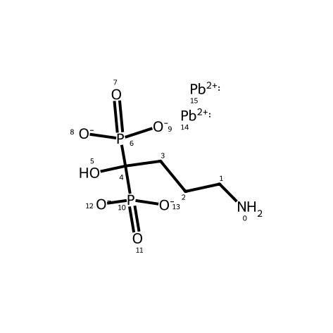 NCCCC(O)(P(=O)([O-])[O-])P(=O)([O-])[O-].[Pb+2].[Pb+2]